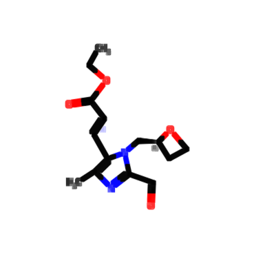 CCOC(=O)/C=C/c1c(C)nc(C=O)n1C[C@@H]1CCO1